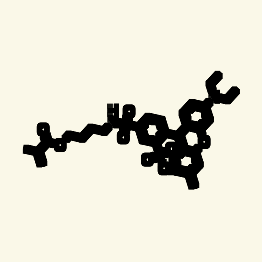 C=C(C)C(=O)OCCCCNS(=O)(=O)c1ccc(C2=c3ccc(=C)cc3Oc3cc(N(CC)CC)ccc32)c(S(=O)(=O)O)c1